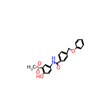 CS(=O)(=O)c1cc(NC(=O)c2ccc(COc3ccccc3)cc2)ccc1O